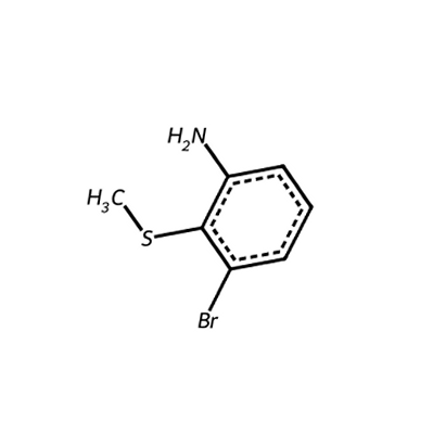 CSc1c(N)cccc1Br